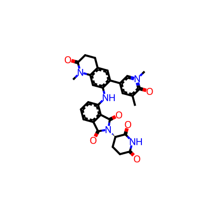 Cc1cc(-c2cc3c(cc2Nc2cccc4c2C(=O)N([C@H]2CCC(=O)NC2=O)C4=O)N(C)C(=O)CC3)cn(C)c1=O